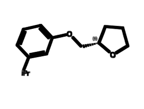 CC(C)c1cccc(OC[C@@H]2CCCO2)c1